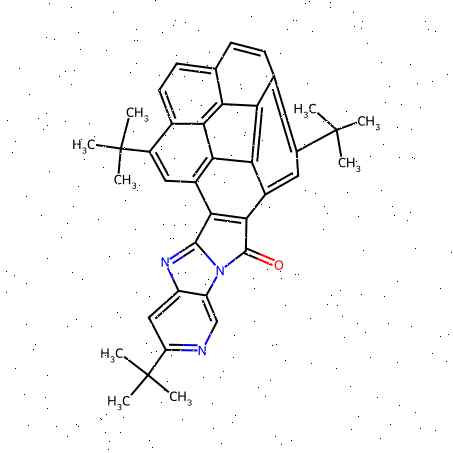 CC(C)(C)c1cc2nc3c4c5cc(C(C)(C)C)c6ccc7ccc8c(C(C)(C)C)cc(c4c(=O)n3c2cn1)c1c8c7c6c51